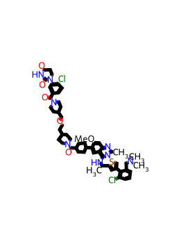 COc1cc2nc(C)nc(N[C@H](C)c3cc(-c4c(Cl)cccc4CN(C)C)cs3)c2cc1C1CCC(C(=O)N2CCC(CCOCC3CCN(C(=O)c4ccc(Cl)c(N5CCC(=O)NC5=O)c4)CC3)CC2)CC1